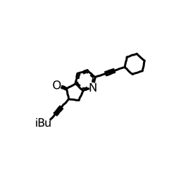 CCC(C)C#CC1Cc2nc(C#CC3CCCCC3)ccc2C1=O